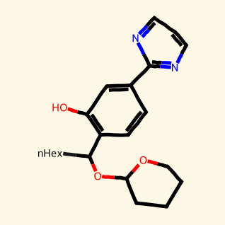 CCCCCCC(OC1CCCCO1)c1ccc(-c2ncccn2)cc1O